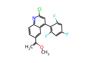 C=C(OC)c1ccc2nc(Cl)cc(-c3c(F)cc(F)cc3F)c2c1